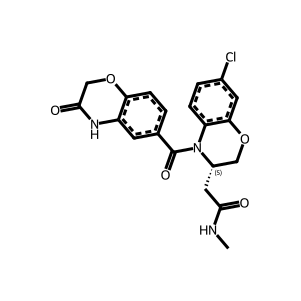 CNC(=O)C[C@H]1COc2cc(Cl)ccc2N1C(=O)c1ccc2c(c1)NC(=O)CO2